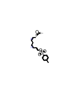 Cc1ccc(S(=O)(=O)OC=C/C=C\C/C=C\C[C@@H]2O[C@@H]2C)cc1